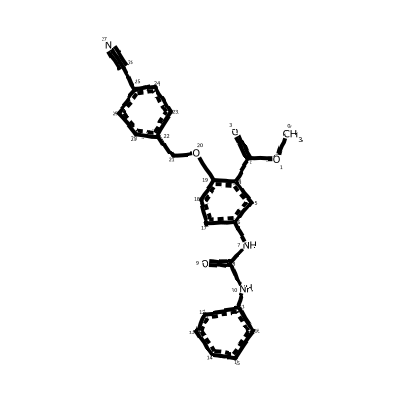 COC(=O)c1cc(NC(=O)Nc2ccccc2)ccc1OCc1ccc(C#N)cc1